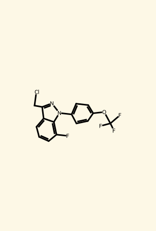 Fc1cccc2c(CCl)nn(-c3ccc(OC(F)(F)F)cc3)c12